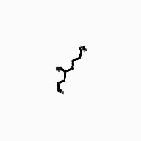 C=CC[C](N)CCCC